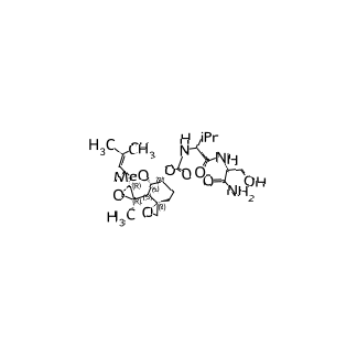 CO[C@@H]1[C@H](OC(=O)NC(C(=O)NC(CO)C(N)=O)C(C)C)CC[C@]2(CO2)[C@H]1[C@@]1(C)O[C@@H]1CC=C(C)C